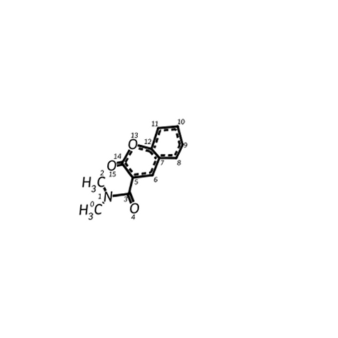 CN(C)C(=O)c1cc2ccccc2oc1=O